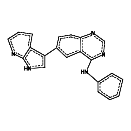 c1ccc(Nc2ncnc3ccc(-c4c[nH]c5ncccc45)cc23)cc1